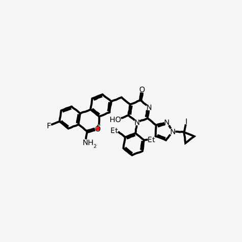 CCc1cccc(CC)c1-n1c(-c2ccn(C3(I)CC3)n2)nc(=O)c(Cc2ccc(-c3ccc(F)cc3C(N)=O)c(F)c2)c1O